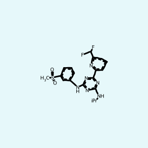 CC(C)Nc1nc(Nc2cccc(S(C)(=O)=O)c2)nc(-c2cccc(C(F)F)n2)n1